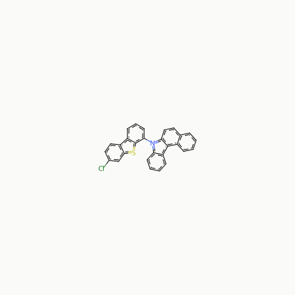 Clc1ccc2c(c1)sc1c(-n3c4ccccc4c4c5ccccc5ccc43)cccc12